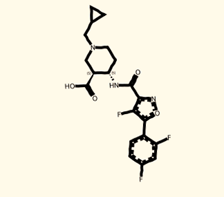 O=C(N[C@H]1CCN(CC2CC2)C[C@@H]1C(=O)O)c1noc(-c2ccc(F)cc2F)c1F